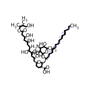 C/C=C/C=C/C=C/C=C/C=C/C=C/C=C/[C@@H](C[C@@H]1O[C@H](C[C@@H](O)C[C@@H](O)[C@H](O)CC[C@@H](O)C[C@@H](O)CC(=O)O[C@@H](C)[C@H](C)CO)CC[C@H]1C(=O)O)OC1OC(C)C(O)C(N)C1O